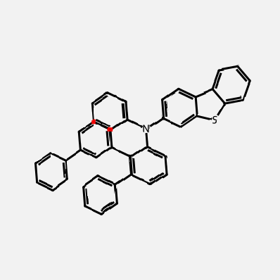 c1ccc(-c2cccc(-c3c(-c4ccccc4)cccc3N(c3ccccc3)c3ccc4c(c3)sc3ccccc34)c2)cc1